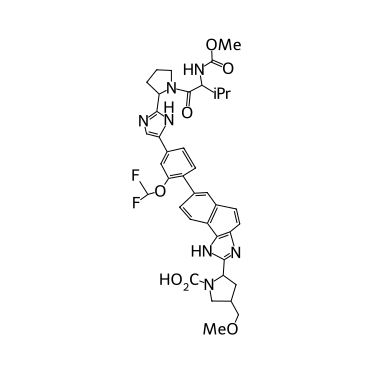 COCC1CC(c2nc3ccc4cc(-c5ccc(-c6cnc(C7CCCN7C(=O)C(NC(=O)OC)C(C)C)[nH]6)cc5OC(F)F)ccc4c3[nH]2)N(C(=O)O)C1